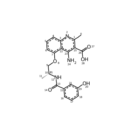 Cc1nc2cccc(OC[C@@H](C)NC(=O)c3cccc(O)c3)c2c(N)c1C(=O)O